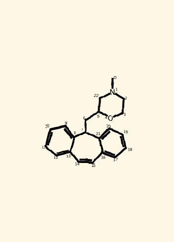 CN1CCOC(CC2c3ccccc3C=Cc3ccccc32)C1